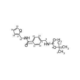 CC(C)(C)OC(=O)NCc1ccc(C(=O)NCc2ccco2)cc1